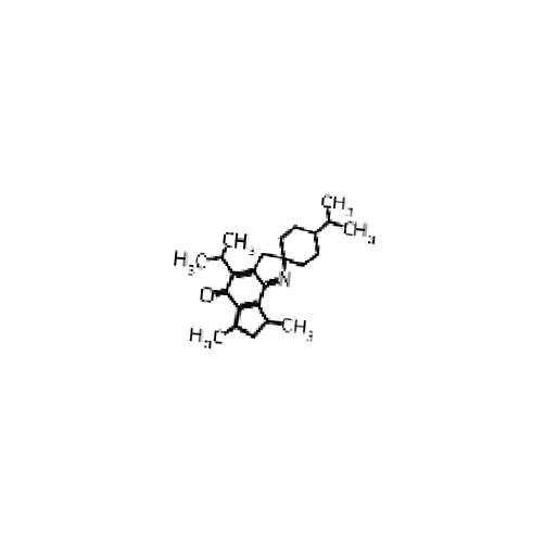 CC(C)C1=C2CC3(CCC(C(C)C)CC3)N=C2C2=C(C1=O)C(C)CC2C